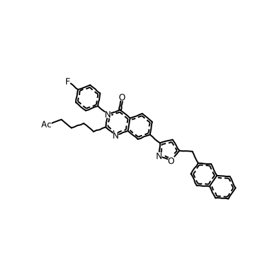 CC(=O)CCCCc1nc2cc(-c3cc(Cc4ccc5ccccc5c4)on3)ccc2c(=O)n1-c1ccc(F)cc1